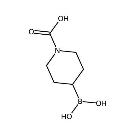 O=C(O)N1CCC(B(O)O)CC1